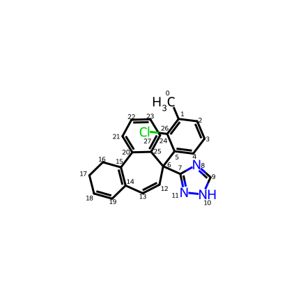 Cc1cccc(C2(c3nc[nH]n3)C=CC3=C(CCC=C3)c3ccccc32)c1Cl